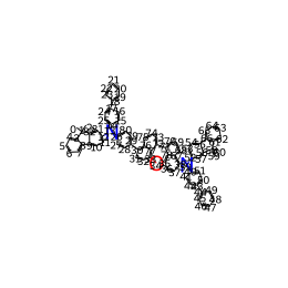 CC1(C)c2ccccc2-c2ccc(N(c3ccc(-c4ccccc4)cc3)c3ccc(-c4ccc5oc6ccc(N(c7ccc(-c8ccccc8)cc7)c7ccc8c(c7)C(C)(C)c7ccccc7-8)c7cccc(c8cccc4c58)c67)cc3)cc21